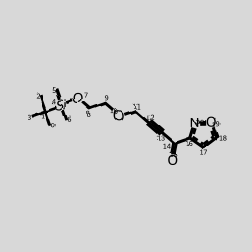 CC(C)(C)[Si](C)(C)OCCOCC#CC(=O)c1ccon1